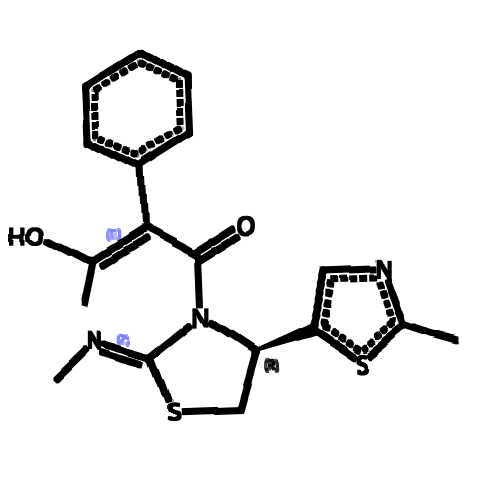 C/N=C1\SC[C@H](c2cnc(C)s2)N1C(=O)/C(=C(\C)O)c1ccccc1